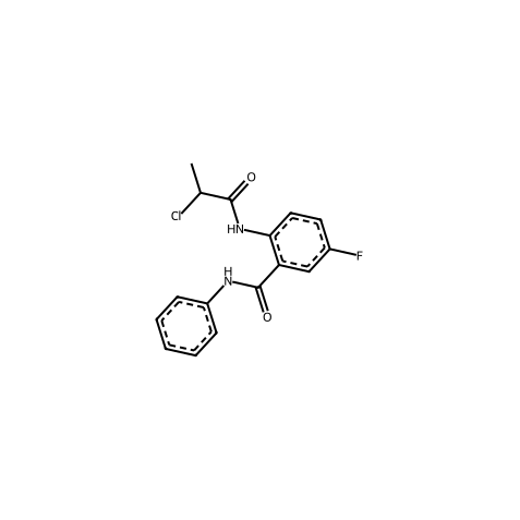 CC(Cl)C(=O)Nc1ccc(F)cc1C(=O)Nc1ccccc1